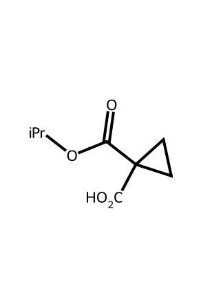 CC(C)OC(=O)C1(C(=O)O)CC1